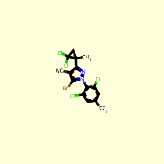 CC1(c2nn(-c3c(Cl)cc(C(F)(F)F)cc3Cl)c(Br)c2C#N)CC1(Cl)Cl